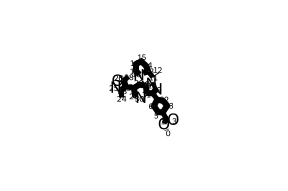 COC(=O)c1ccc(-c2nn([C@@H](C)c3ccccn3)c3cc(-c4c(C)noc4C)cnc23)cc1